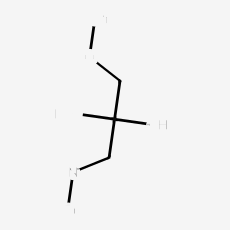 CCNCC(C)(C)COC(C)C